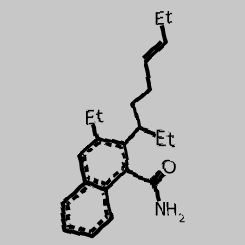 CC/C=C/CCC(CC)c1c(CC)cc2ccccc2c1C(N)=O